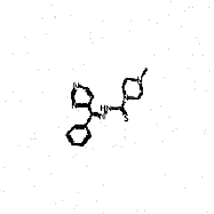 CN1CCN(C(=S)N/N=C(/c2ccccc2)c2ccncn2)CC1